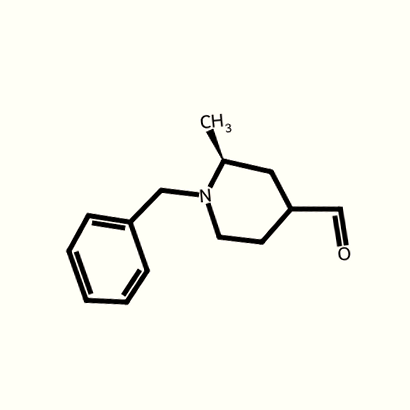 C[C@H]1CC(C=O)CCN1Cc1ccccc1